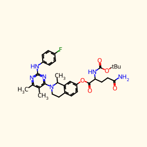 Cc1nc(Nc2ccc(F)cc2)nc(N2CCc3ccc(OC(=O)C(CCC(N)=O)NC(=O)OC(C)(C)C)cc3C2C)c1C